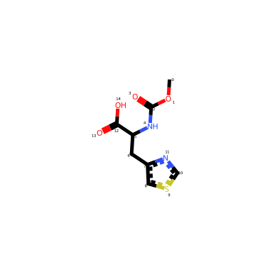 COC(=O)NC(Cc1cscn1)C(=O)O